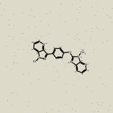 CCn1nc(-c2ccc(Oc3nc4cccnc4n3C)cc2)c2ncccc21